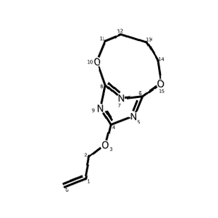 C=CCOc1nc2nc(n1)OCCCCO2